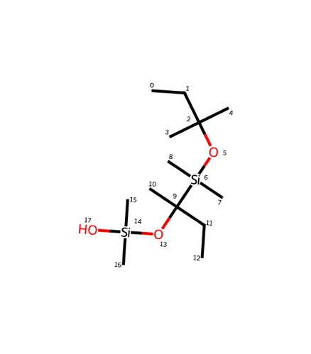 CCC(C)(C)O[Si](C)(C)C(C)(CC)O[Si](C)(C)O